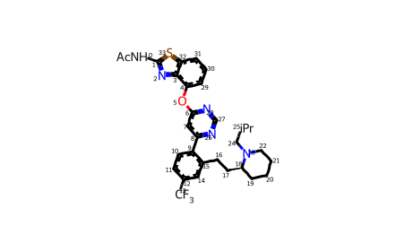 CC(=O)Nc1nc2c(Oc3cc(-c4ccc(C(F)(F)F)cc4CC[C@@H]4CCCCN4CC(C)C)ncn3)cccc2s1